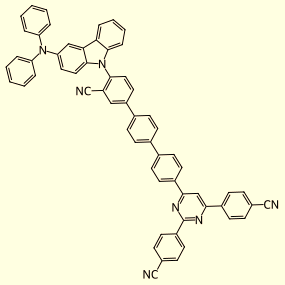 N#Cc1ccc(-c2cc(-c3ccc(-c4ccc(-c5ccc(-n6c7ccccc7c7cc(N(c8ccccc8)c8ccccc8)ccc76)c(C#N)c5)cc4)cc3)nc(-c3ccc(C#N)cc3)n2)cc1